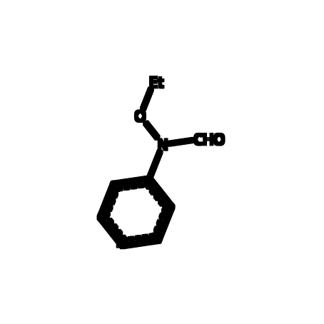 CCON(C=O)c1cc[c]cc1